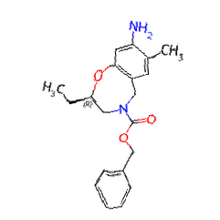 CC[C@@H]1CN(C(=O)OCc2ccccc2)Cc2cc(C)c(N)cc2O1